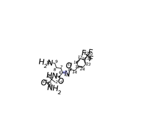 CC(C)(NC(=O)/C(CCCN)=N/C(=O)Cc1ccc(C(F)(F)F)cc1)C(N)=O